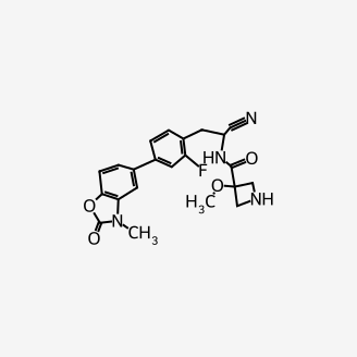 COC1(C(=O)NC(C#N)Cc2ccc(-c3ccc4oc(=O)n(C)c4c3)cc2F)CNC1